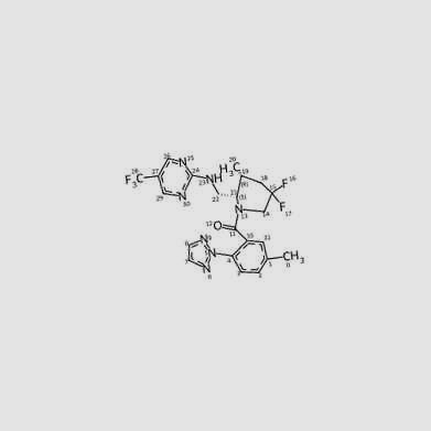 Cc1ccc(-n2nccn2)c(C(=O)N2CC(F)(F)C[C@@H](C)[C@H]2CNc2ncc(C(F)(F)F)cn2)c1